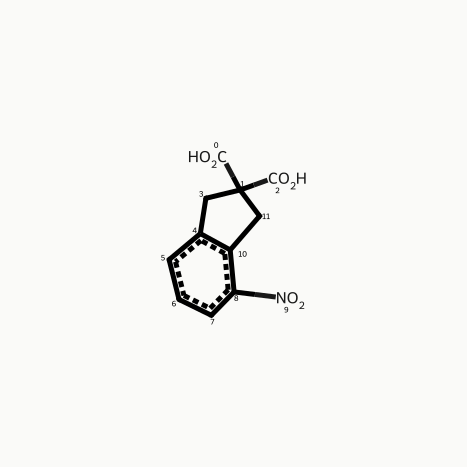 O=C(O)C1(C(=O)O)Cc2cccc([N+](=O)[O-])c2C1